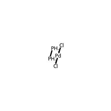 PP.[Cl][Pd][Cl]